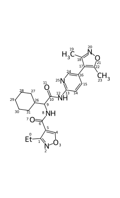 CCc1nocc1C(=O)NC(C(=O)Nc1ccc(-c2c(C)noc2C)cn1)C1CCCCC1